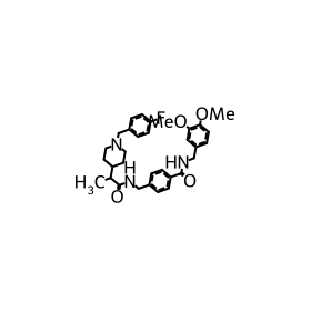 COc1ccc(CNC(=O)c2ccc(CNC(=O)C(C)C3CCN(Cc4ccc(F)cc4)CC3)cc2)cc1OC